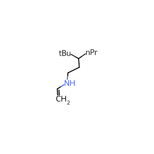 C=CNCCC(CCC)C(C)(C)C